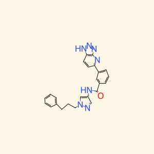 O=C(Nc1cnn(CCCc2ccccc2)c1)c1cccc(-c2ccc3[nH]nnc3n2)c1